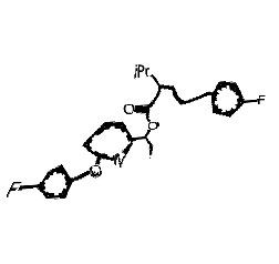 CC(OC(=O)C(C=Cc1ccc(F)cc1)C(C)C)c1cccc(Oc2ccc(F)cc2)n1